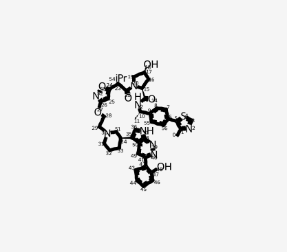 Cc1ncsc1-c1ccc([C@H](C)NC(=O)[C@@H]2C[C@@H](O)CN2C(=O)[C@@H](c2cc(OCCN3CCC[C@H](c4c[nH]c5nnc(-c6ccccc6O)cc45)C3)no2)C(C)C)cc1